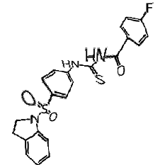 O=C(NC(=S)Nc1ccc(S(=O)(=O)N2CCc3ccccc32)cc1)c1ccc(F)cc1